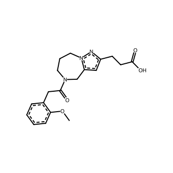 COc1ccccc1CC(=O)N1CCCn2nc(CCC(=O)O)cc2C1